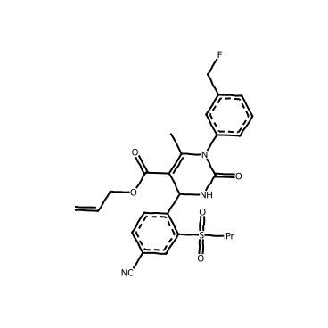 C=CCOC(=O)C1=C(C)N(c2cccc(CF)c2)C(=O)NC1c1ccc(C#N)cc1S(=O)(=O)C(C)C